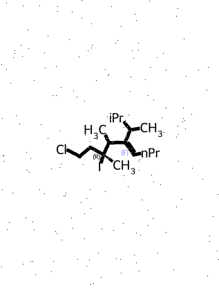 CCC/C=C(\C(C)C(C)C)C(C)[C@](C)(I)CCCl